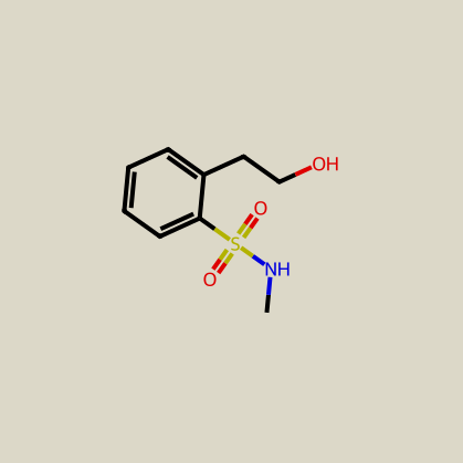 CNS(=O)(=O)c1ccccc1CCO